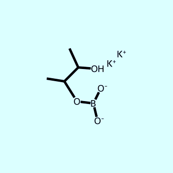 CC(O)C(C)OB([O-])[O-].[K+].[K+]